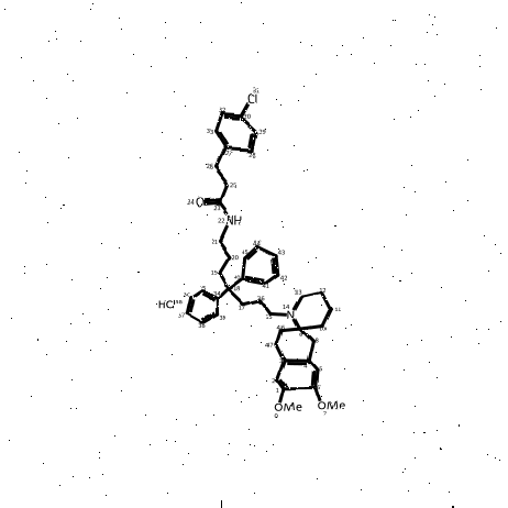 COc1cc2c(cc1OC)CC1(CCCCN1CCCC(CCCNC(=O)CCc1ccc(Cl)cc1)(c1ccccc1)c1ccccc1)CC2.Cl